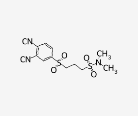 [C-]#[N+]c1ccc(S(=O)(=O)CCCS(=O)(=O)N(C)C)cc1[N+]#[C-]